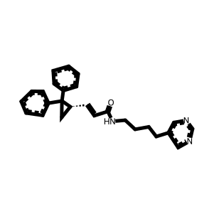 O=C(/C=C/[C@@H]1CC1(c1ccccc1)c1ccccc1)NCCCCc1cncnc1